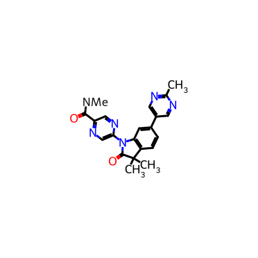 CNC(=O)c1cnc(N2C(=O)C(C)(C)c3ccc(-c4cnc(C)nc4)cc32)cn1